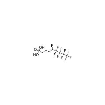 O=P(O)(O)CCCC(F)C(F)(F)C(F)(F)C(F)(F)C(F)(F)F